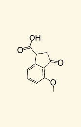 COc1cccc2c1C(=O)CC2C(=O)O